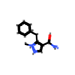 Cn1ncc(C(N)=O)c1Cc1ccccc1